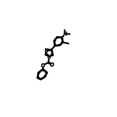 Cc1cc(-c2cn(C(=O)Oc3ccccc3)cn2)ccc1N(C)C